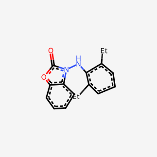 CCc1cccc(CC)c1Nn1c(=O)oc2ccccc21